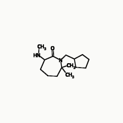 CNC1CCCC(C)(C)N(CC2CCCC2)C1=O